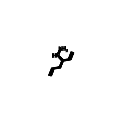 C=CC[C](C=C)NN